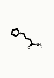 NC(=O)CCCn1cccc1